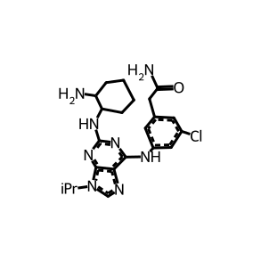 CC(C)n1cnc2c(Nc3cc(Cl)cc(CC(N)=O)c3)nc(NC3CCCCC3N)nc21